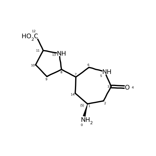 N[C@@H]1CC(=O)NCC(C2CCC(C(=O)O)N2)C1